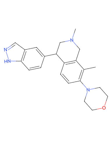 Cc1c(N2CCOCC2)ccc2c1CN(C)CC2c1ccc2[nH]ncc2c1